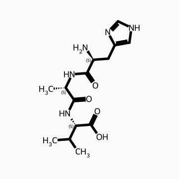 CC(C)[C@H](NC(=O)[C@H](C)NC(=O)[C@@H](N)Cc1c[nH]cn1)C(=O)O